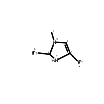 CC(C)C1=CN(C)C(C(C)C)N1